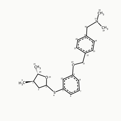 C[C@@H]1CC(Sc2cccc(OCc3ccc(CN(C)C)cc3)c2)O[C@H]1C